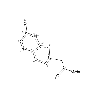 COC(=O)Cc1ccc2ncc(=O)[nH]c2c1